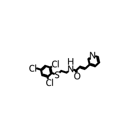 O=C(C=Cc1cccnc1)NCCSc1c(Cl)cc(Cl)cc1Cl